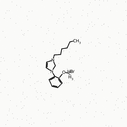 Br.CCCCCCN1C=CN(c2ccccc2OC)C1